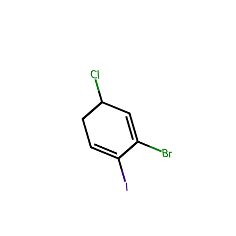 ClC1C=C(Br)C(I)=CC1